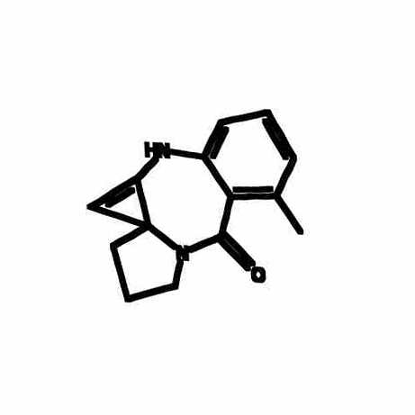 Cc1cccc2c1C(=O)N1CCCC13C=C3N2